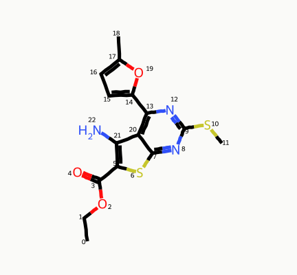 CCOC(=O)c1sc2nc(SC)nc(-c3ccc(C)o3)c2c1N